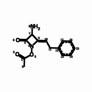 CC(=O)ON1C(=O)C(N)C1=CCc1ccccc1